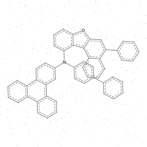 c1ccc(-c2ccc(N(c3ccc4c5ccccc5c5ccccc5c4c3)c3cccc4oc5cc(-c6ccccc6)c6ccccc6c5c34)cc2)cc1